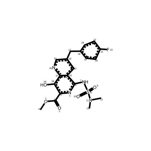 COC(=O)c1nc(NS(=O)(=O)N(C)C)c2cc(Cc3ccc(F)cc3)cnc2c1O